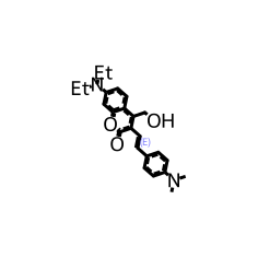 CCN(CC)c1ccc2c(CO)c(/C=C/c3ccc(N(C)C)cc3)c(=O)oc2c1